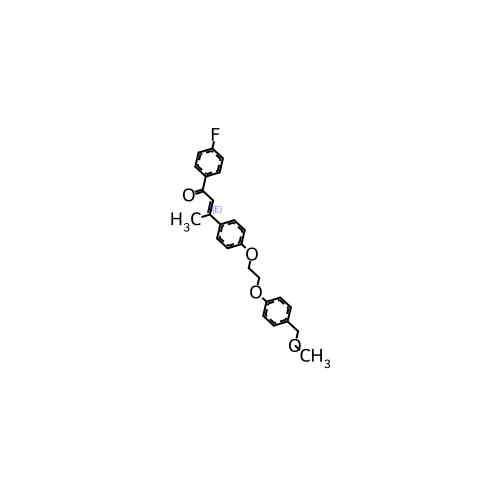 COCc1ccc(OCCOc2ccc(/C(C)=C/C(=O)c3ccc(F)cc3)cc2)cc1